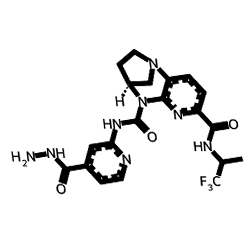 CC(NC(=O)c1ccc2c(n1)N(C(=O)Nc1cc(C(=O)NN)ccn1)[C@H]1CCN2C1)C(F)(F)F